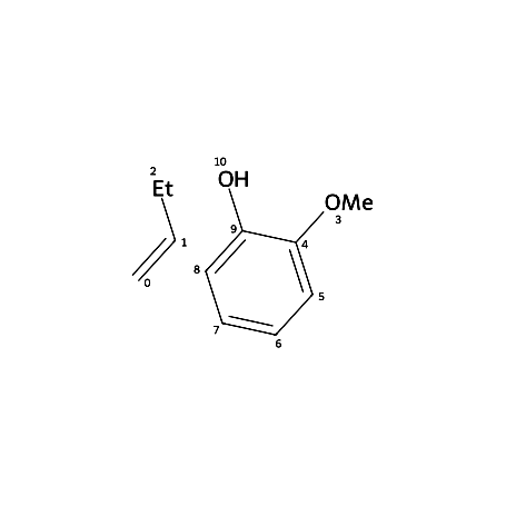 C=CCC.COc1ccccc1O